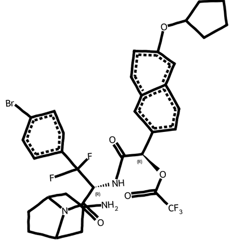 NC1CC2CCC(C1)N2C(=O)[C@@H](NC(=O)[C@H](OC(=O)C(F)(F)F)c1ccc2cc(OC3CCCC3)ccc2c1)C(F)(F)c1ccc(Br)cc1